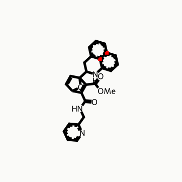 COC(=O)C1=C(C(=O)NCc2ccccn2)C2C=CC1(C(Cc1ccccc1)Nc1ccccc1)O2